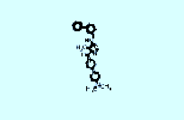 Cc1c(NCc2cccc(-c3ccccc3)c2)ncnc1C(=O)N1CCC(N2CCC(N(C)C)CC2)CC1